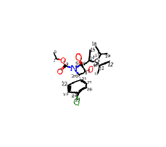 CCOC(=O)N1C(=O)[C@H](O[Si](C(C)C)(C(C)C)C(C)C)[C@@H]1c1ccc(Cl)cc1